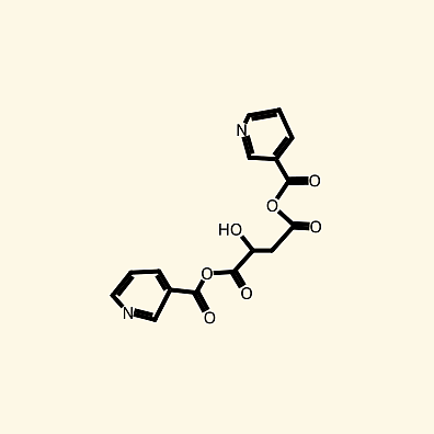 O=C(CC(O)C(=O)OC(=O)c1cccnc1)OC(=O)c1cccnc1